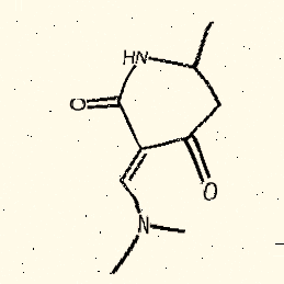 CC1CC(=O)/C(=C\N(C)C)C(=O)N1